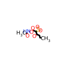 CCCC(=O)C(C(=O)ONC(C)=O)=S(=O)=O